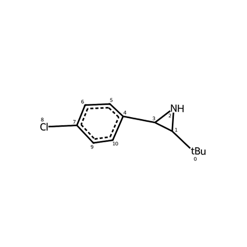 CC(C)(C)C1NC1c1ccc(Cl)cc1